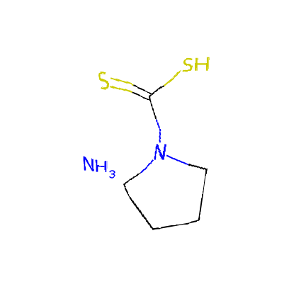 N.S=C(S)N1CCCC1